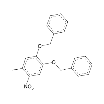 Cc1cc(OCc2ccccc2)c(OCc2ccccc2)cc1[N+](=O)[O-]